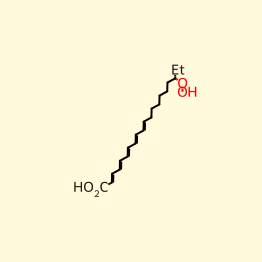 CCC(CCCCCCC=CC=CC=CC=CC=CC(=O)O)OO